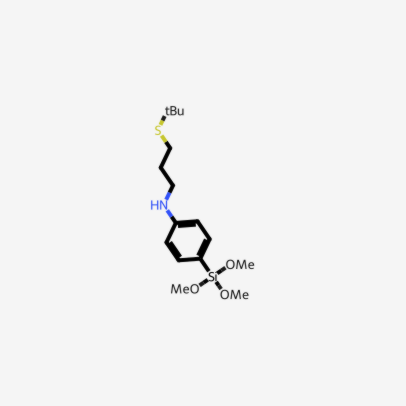 CO[Si](OC)(OC)c1ccc(NCCCSC(C)(C)C)cc1